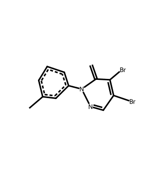 C=C1C(Br)=C(Br)C=NN1c1cccc(C)c1